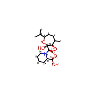 CC1CCC(C(C)C)OC(O)(C(=O)N2CCCCC2C(=O)O)C1=O